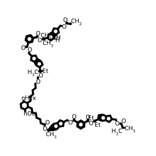 C=CC(=O)OCC1CC2C3C[C@@H](CC3C(C)(C)OC(=O)c3cccc(C(=O)OCC4CC5C6CC(C5C4)C(C(C)(CC)OCOCCCCCCC4C(CCCCCC)CCC(CCCCCCCC)C4CCCCCCC(=O)OC4(C)C5C7CC(C8CC(COC(=O)c9cccc(C(=O)OC(CC)(CC)C%10CC%11CC%10C%10CC(COC(=O)C(=C)C)CC%11%10)c9)CC87)C54)C6)c3)[C@H]2C1